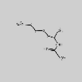 CNC(=O)NC(C)COCCOC